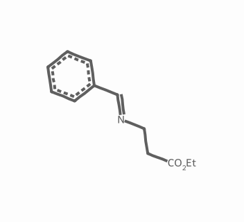 CCOC(=O)CCN=Cc1ccccc1